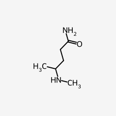 CNC(C)CCC(N)=O